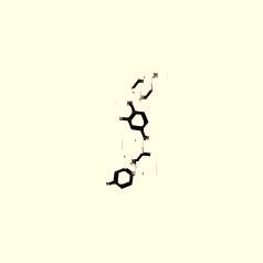 CC(NC(=O)c1ccc(C(=O)N2CCN(C=O)CC2)c(Cl)c1)c1nc2cc(Cl)ccc2[nH]1